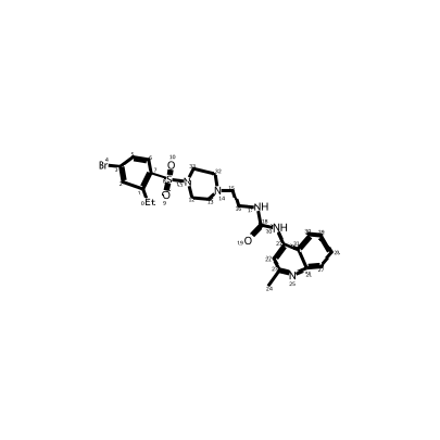 CCc1cc(Br)ccc1S(=O)(=O)N1CCN(CCNC(=O)Nc2cc(C)nc3ccccc23)CC1